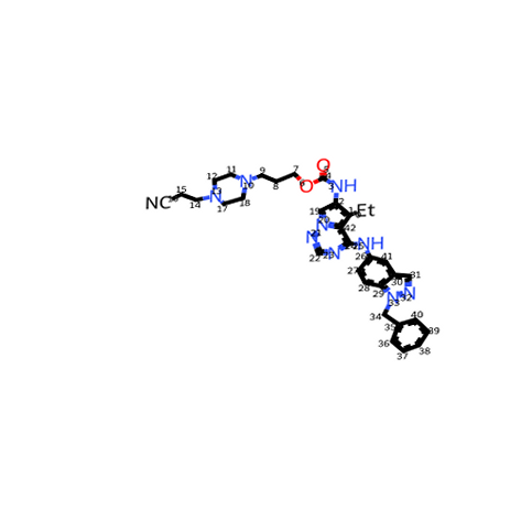 CCc1c(NC(=O)OCCCN2CCN(CCC#N)CC2)cn2ncnc(Nc3ccc4c(cnn4Cc4ccccc4)c3)c12